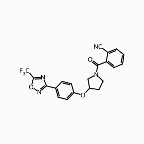 N#Cc1ccccc1C(=O)N1CCC(Oc2ccc(-c3noc(C(F)(F)F)n3)cc2)C1